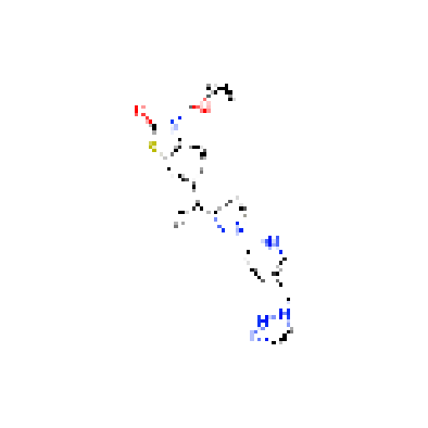 COCn1c(=O)sc2cc(C(C)c3ccn(-c4ccc(Cn5ccnn5)cn4)n3)ccc21